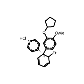 CCC1C=CC=C[C@@]1(c1ccncc1)c1ccc(OC)c(OC2CCCC2)c1.Cl